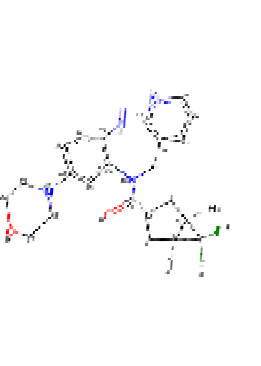 O=C([C@@H]1C[C@@H]2[C@H](C1)C2(F)F)N1Cc2cccnc2Nc2ccc(N3CCOCC3)cc21